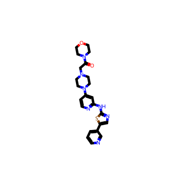 O=C(CN1CCN(c2ccnc(Nc3ncc(-c4cccnc4)s3)c2)CC1)N1CCOCC1